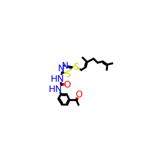 CC(=O)c1cccc(NC(=O)Nc2nnc(SC/C=C(\C)CCC=C(C)C)s2)c1